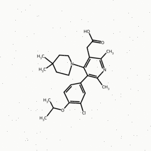 Cc1nc(C)c(-c2ccc(OC(C)C)c(Cl)c2)c(N2CCC(C)(C)CC2)c1CC(=O)O